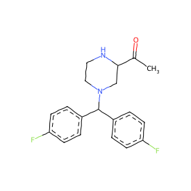 CC(=O)C1CN(C(c2ccc(F)cc2)c2ccc(F)cc2)CCN1